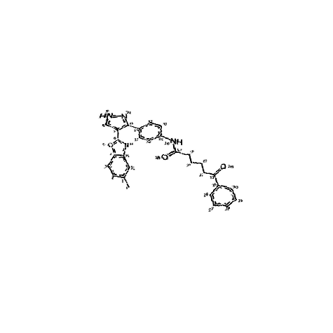 Cc1ccc2oc(-c3c[nH]nc3-c3ccc(NC(=O)CCCCC(=O)c4ccccc4)cc3)nc2c1